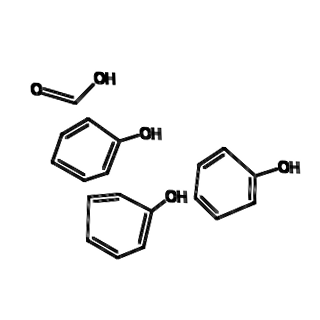 O=CO.Oc1ccccc1.Oc1ccccc1.Oc1ccccc1